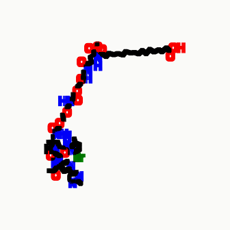 COC(=O)[C@H](CCC(=O)NCCOCCOCC(=O)NCCOCCOCC(=O)NC[C@@]12C[C@@H](C(=O)Nc3nc(Br)ccc3C)N(C(=O)Cn3nc(C(C)=O)c4cc(-c5cnc(C)nc5)ncc43)[C@@H]1C2)NC(=O)CCCCCCCCCCCCCCCCC(=O)O